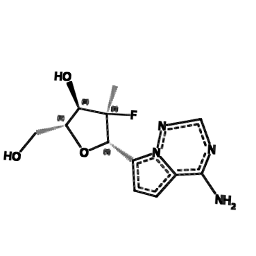 C[C@@]1(F)[C@H](O)[C@@H](CO)O[C@H]1c1ccc2c(N)ncnn12